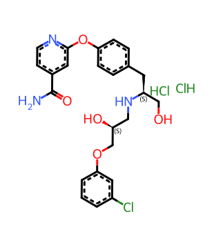 Cl.Cl.NC(=O)c1ccnc(Oc2ccc(C[C@@H](CO)NC[C@H](O)COc3cccc(Cl)c3)cc2)c1